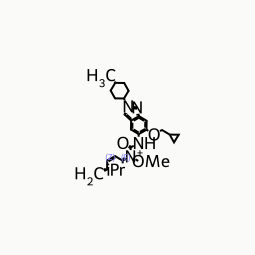 C=C/C=C\C(C(C)C)=[N+](\OC)C(=O)Nc1cc2cn(C3CCC(C)CC3)nc2cc1OCC1CC1